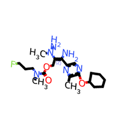 Cc1nc(/C(N)=C(\COC(=O)N(C)CCCF)N(C)N)cnc1OC1CCCCC1